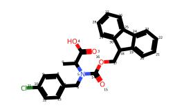 CC(C(=O)O)N(Cc1ccc(Cl)cc1)C(=O)OCC1c2ccccc2-c2ccccc21